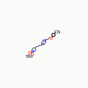 CC(C)(C)OC(=O)N1CCC(CCCCN2CCN(CCCOc3ccc(C#N)cc3)CC2)CC1